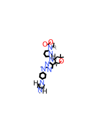 C[C@H]1COC(=O)N1c1cccc(N2c3nc(N(C)c4ccc(N5C[C@H]6C[C@@H]5CN6C)cc4)ncc3[C@@]3(C)COC(C)(C)C[C@@H]23)n1